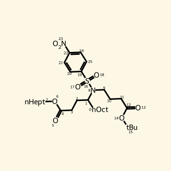 CCCCCCCCC(CCC(=O)OCCCCCCC)N(CCCC(=O)OC(C)(C)C)S(=O)(=O)c1ccc([N+](=O)[O-])cc1